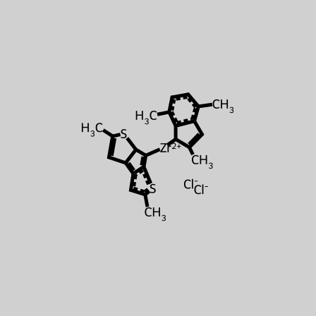 CC1=CC2=c3cc(C)sc3=[C]([Zr+2][CH]3C(C)=Cc4c(C)ccc(C)c43)C2S1.[Cl-].[Cl-]